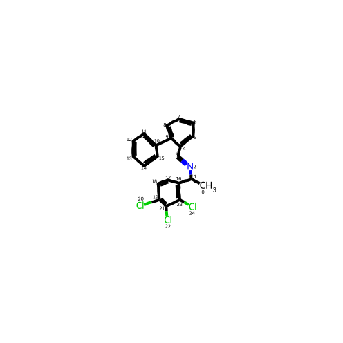 CC(N=Cc1ccccc1-c1ccccc1)c1ccc(Cl)c(Cl)c1Cl